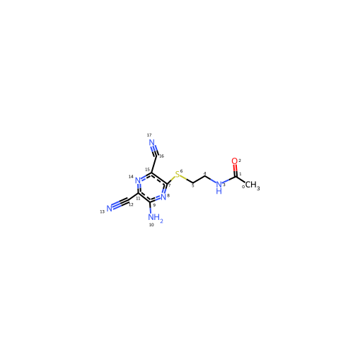 CC(=O)NCCSc1nc(N)c(C#N)nc1C#N